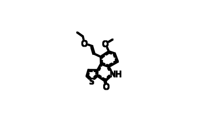 CCOC=Cc1c(OC)ccc2[nH]c(=O)c3sccc3c12